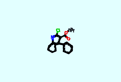 CCCOC(=O)c1c(Cl)nc2ccccc2c1-c1ccccc1